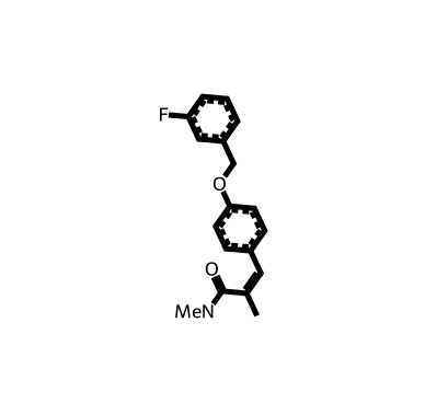 CNC(=O)C(C)=Cc1ccc(OCc2cccc(F)c2)cc1